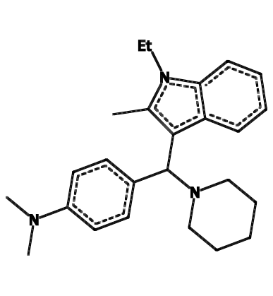 CCn1c(C)c(C(c2ccc(N(C)C)cc2)N2CCCCC2)c2ccccc21